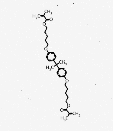 C=C(C)C(=O)OCCCCCOc1ccc(C(C)(C)c2ccc(OCCCCCOC(=O)C(=C)C)cc2)cc1